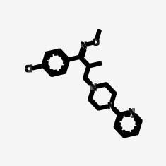 CON=C(c1ccc(Cl)cc1)C(C)CN1CCN(c2ccccn2)CC1